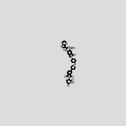 CC(C)Oc1cc2c(cc1NC(=O)c1cnn3cccnc13)CN([C@H]1CC[C@H](CN3CCC(c4ccc5c(c4)C(=O)N(C4CCC(=O)NC4=O)C5=O)CC3)CC1)C2=O